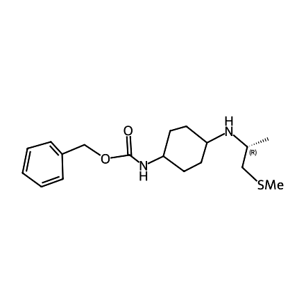 CSC[C@@H](C)NC1CCC(NC(=O)OCc2ccccc2)CC1